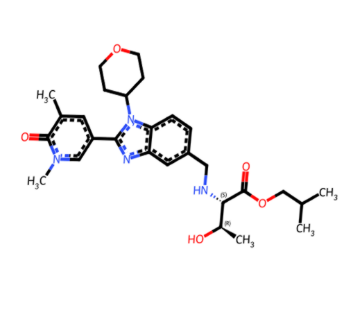 Cc1cc(-c2nc3cc(CN[C@H](C(=O)OCC(C)C)[C@@H](C)O)ccc3n2C2CCOCC2)cn(C)c1=O